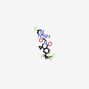 O=C(CN1CC2(CC2)c2cc([C@@]3(F)C[C@@H]3C(F)(F)F)ccc2C1=O)Nc1ncc(F)cn1